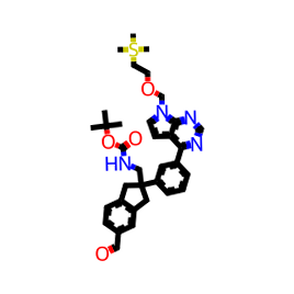 CC(C)(C)OC(=O)NCC1(c2cccc(-c3ncnc4c3ccn4COCCS(C)(C)C)c2)Cc2ccc(C=O)cc2C1